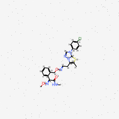 CNC(=O)/C(=N/OC)c1ccccc1CON=CCC1=C(C)SC2N1N=CN2c1ccc(Cl)cc1